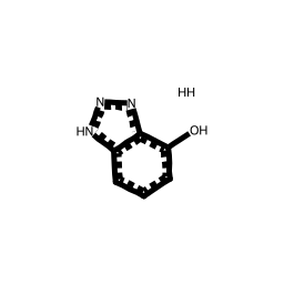 Oc1cccc2[nH]nnc12.[HH]